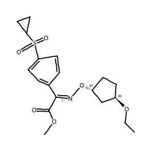 CCO[C@@H]1CC[C@@H](O/N=C(/C(=O)OC)c2ccc(S(=O)(=O)C3CC3)cc2)C1